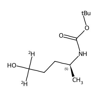 [2H]C([2H])(O)CC[C@H](C)NC(=O)OC(C)(C)C